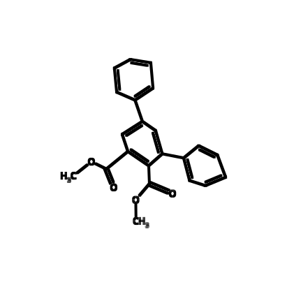 COC(=O)c1cc(-c2ccccc2)cc(-c2ccccc2)c1C(=O)OC